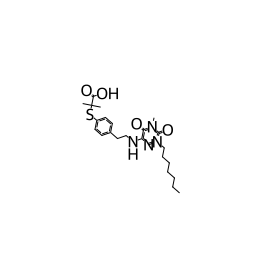 CCCCCCCn1nc(NCCc2ccc(SC(C)(C)C(=O)O)cc2)c(=O)n(C)c1=O